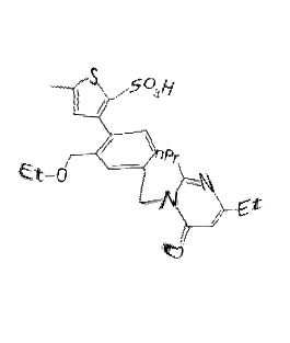 CCCc1nc(CC)cc(=O)n1Cc1ccc(-c2cc(C)sc2S(=O)(=O)O)c(COCC)c1